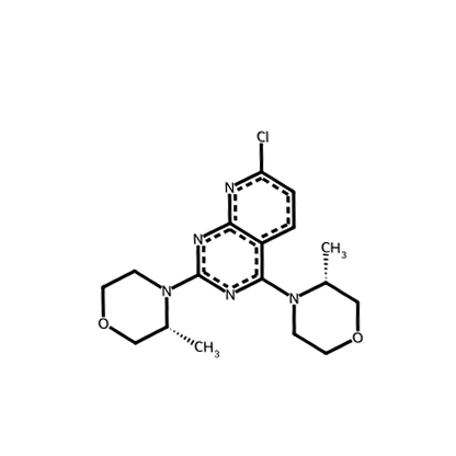 C[C@@H]1COCCN1c1nc(N2CCOC[C@H]2C)c2ccc(Cl)nc2n1